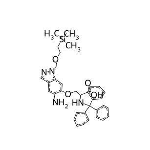 C[Si](C)(C)CCOCn1ncc2cc(N)c(OCC(NC(c3ccccc3)(c3ccccc3)c3ccccc3)C(=O)O)cc21